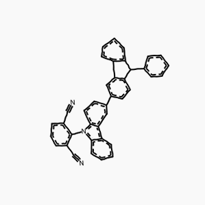 N#Cc1cccc(C#N)c1-n1c2ccccc2c2cc(-c3ccc4c(c3)-c3ccccc3C4c3ccccc3)ccc21